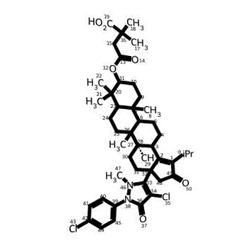 CC(C)C1=C2C3CCC4C5(C)CCC(OC(=O)CC(C)(C)C(=O)O)C(C)(C)C5CCC4(C)[C@]3(C)CCC2(c2c(Cl)c(=O)n(-c3ccc(Cl)cc3)n2C)CC1=O